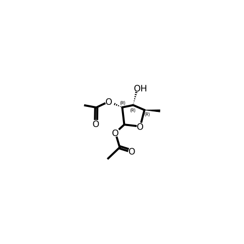 CC(=O)OC1O[C@H](C)[C@@H](O)[C@H]1OC(C)=O